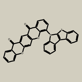 O=c1c2ccccc2oc2cc3oc4c(-n5c6ccccc6c6c7ccccc7sc65)cccc4c(=O)c3cc12